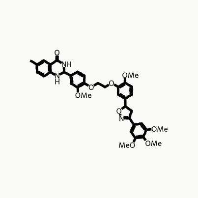 COc1cc(C2NC(=O)c3cc(C)ccc3N2)ccc1OCCOc1cc(C2CC(c3cc(OC)c(OC)c(OC)c3)=NO2)ccc1OC